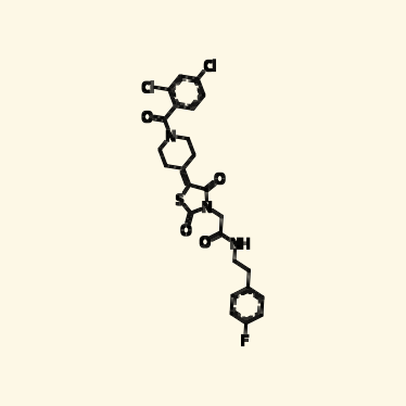 O=C(CN1C(=O)SC(=C2CCN(C(=O)c3ccc(Cl)cc3Cl)CC2)C1=O)NCCc1ccc(F)cc1